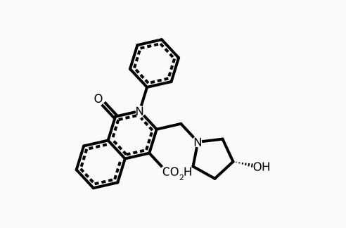 O=C(O)c1c(CN2CC[C@@H](O)C2)n(-c2ccccc2)c(=O)c2ccccc12